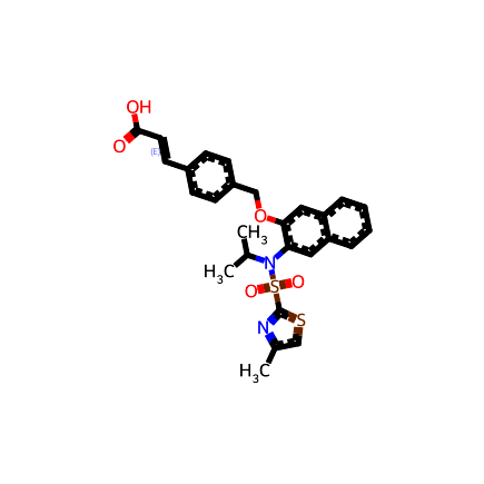 Cc1csc(S(=O)(=O)N(c2cc3ccccc3cc2OCc2ccc(/C=C/C(=O)O)cc2)C(C)C)n1